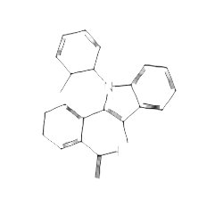 C=C(I)C1=CCCC=C1c1c(C)c2ccccc2n1C1C=CC=CC1C